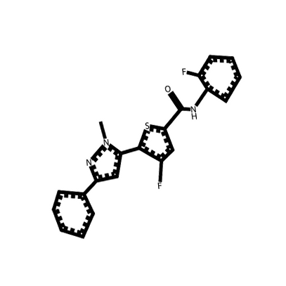 Cn1nc(-c2ccccc2)cc1-c1sc(C(=O)Nc2ccccc2F)cc1F